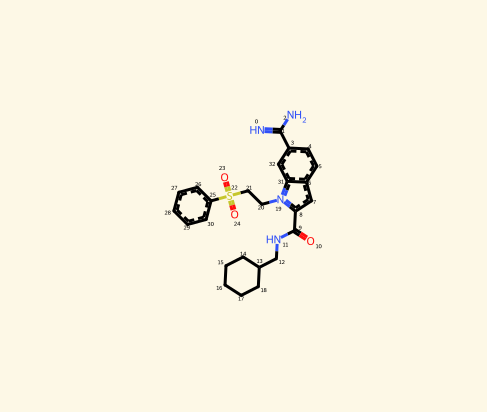 N=C(N)c1ccc2cc(C(=O)NCC3CCCCC3)n(CCS(=O)(=O)c3ccccc3)c2c1